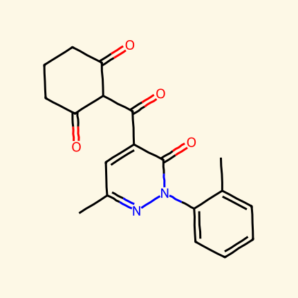 Cc1cc(C(=O)C2C(=O)CCCC2=O)c(=O)n(-c2ccccc2C)n1